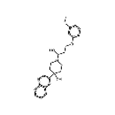 COc1cccc(OCCC(O)N2CCC(O)(c3cnc4ccccc4c3)CC2)c1